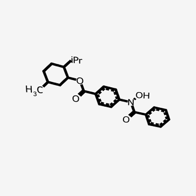 CC1CCC(C(C)C)C(OC(=O)c2ccc(N(O)C(=O)c3ccccc3)cc2)C1